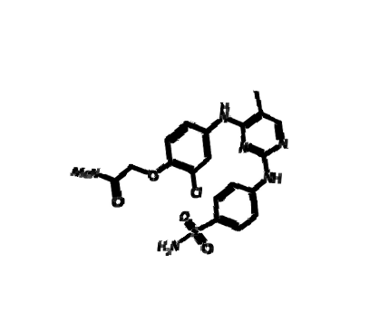 CNC(=O)COc1ccc(Nc2nc(Nc3ccc(S(N)(=O)=O)cc3)ncc2C)cc1Cl